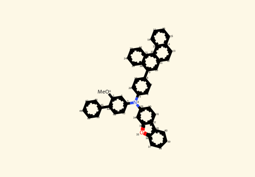 COc1cc(N(c2ccc(-c3cc4ccc5ccccc5c4c4ccccc34)cc2)c2ccc3c(c2)oc2ccccc23)ccc1-c1ccccc1